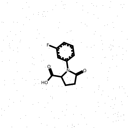 O=C(O)C1CCC(=O)N1c1cccc(F)c1